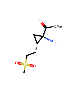 COC(=O)[C@@]1(N)C[C@H]1CCS(C)(=O)=O